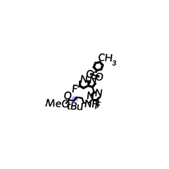 COC(=O)/C=C/CC(Nc1nc(-c2cn(S(=O)(=O)c3ccc(C)cc3)c3ncc(F)cc23)ncc1F)C(C)(C)C